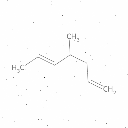 C=CCC(C)C=CC